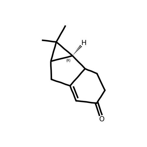 CC1(C)C2CC3=CC(=O)CCC3[C@@H]21